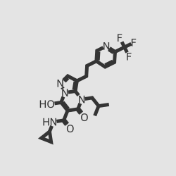 CC(C)Cn1c(=O)c(C(=O)NC2CC2)c(O)n2ncc(CCc3ccc(C(F)(F)F)nc3)c12